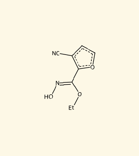 CCOC(=NO)c1occc1C#N